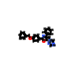 c1ccc(COc2ccc(C3=NC(Cn4cncn4)(c4ccccc4)CO3)cc2)cc1